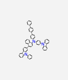 c1ccc(-c2ccc(-c3ccc(N(c4ccc(-n5c6ccccc6c6ccccc65)cc4)c4ccc(-c5ccc6c7ccccc7n(-c7ccccc7)c6c5)c5ccccc45)cc3)cc2)cc1